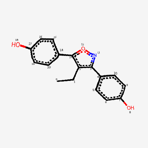 CCc1c(-c2ccc(O)cc2)noc1-c1ccc(O)cc1